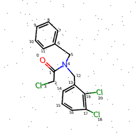 O=C(CCl)N(Cc1ccccc1)Cc1cccc(Cl)c1Cl